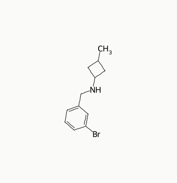 CC1CC(NCc2cccc(Br)c2)C1